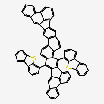 c1ccc2c(c1)cc1c3c(cccc32)-c2cc3ccc4c(ccc5c(-c6cccc7c6sc6ccccc67)c6c(c(-c7cccc8c7sc7ccccc78)c54)-c4cccc5c4c-6cc4ccccc45)c3cc2-1